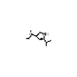 CC[C@@H](C)C1C=C(C(C)C)NC1